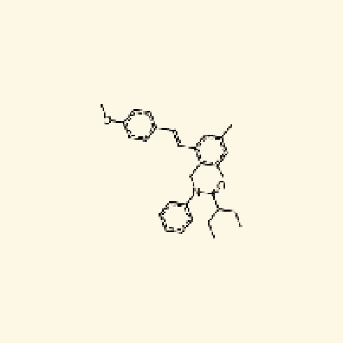 CCC(CC)C(=O)N(Cc1c(C)cc(C)cc1C=Cc1ccc(OC)cc1)c1ccccc1